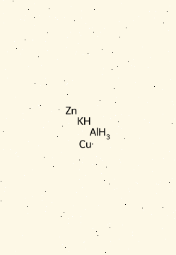 [AlH3].[Cu].[KH].[Zn]